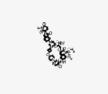 CNC(=O)COc1cc2cc(Nc3nc(N4CCC(O[C@H]5C[C@H](N6CCCN(c7ccc8c(c7)C(=O)N(C7CCC(=O)NC7=O)C8)C6)C5)CC4)ncc3Cl)ccc2n(C(C)C)c1=O